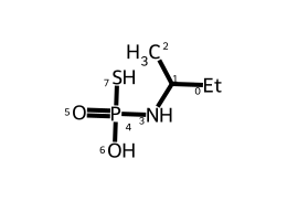 CCC(C)NP(=O)(O)S